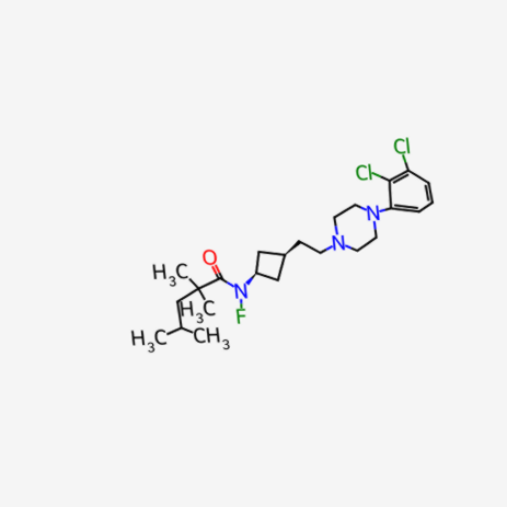 CC(C)CC(C)(C)C(=O)N(F)[C@H]1C[C@@H](CCN2CCN(c3cccc(Cl)c3Cl)CC2)C1